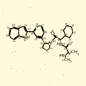 CN[C@@H](C)C(=O)N[C@H](C(=O)N1CCC[C@H]1c1ccnc(-c2cc3ccccc3[nH]2)c1)C1CCCCC1